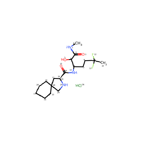 CNC(=O)C(O)C(CCC(C)(F)F)NC(=O)[C@@H]1CC2(CCCCC2)CN1.Cl